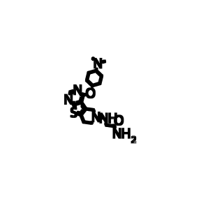 CN(C)[C@H]1CC[C@H](Oc2ncnc3sc4c(c23)CN(NCC(N)=O)CC4)CC1